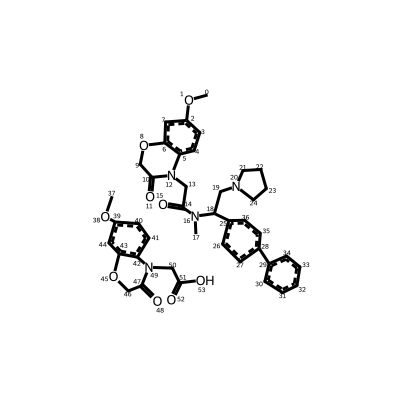 COc1ccc2c(c1)OCC(=O)N2CC(=O)N(C)C(CN1CCCC1)c1ccc(-c2ccccc2)cc1.COc1ccc2c(c1)OCC(=O)N2CC(=O)O